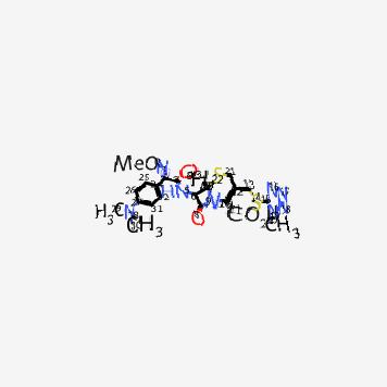 CO/N=C(/C(=O)NC1C(=O)N2C(C(=O)O)=C(CSc3nnnn3C)CS[C@H]12)c1ccc(N(C)C)cc1